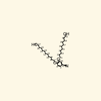 N#Cc1ccc(OCCCCCCCCCCCO)c(OCCCCCCCCCCCO)c1